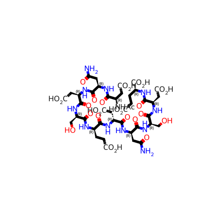 CC(=O)N[C@H](CC(=O)O)C(=O)N[C@H](CC(N)=O)C(=O)N[C@H](CC(=O)O)C(=O)N[C@H](CO)C(=O)N[C@H](CCC(=O)O)C(=O)N[C@H](CC(=O)O)C(=O)N[C@H](CC(N)=O)C(=O)N[C@H](CO)C(=O)N[C@H](CC(=O)O)C(=O)N[C@H](CCC(=O)O)C(=O)O